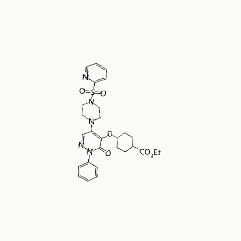 CCOC(=O)C1CCC(Oc2c(N3CCN(S(=O)(=O)c4ccccn4)CC3)cnn(-c3ccccc3)c2=O)CC1